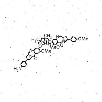 COc1ccc(C2=CN3C(=O)c4cc(OC)c(OCC(C)(C)CC(C)(C)COc5cc6c(cc5OC)C(=O)N5C=C(c7ccc(N)cc7)CC5C=N6)cc4N=CC3C2)cc1